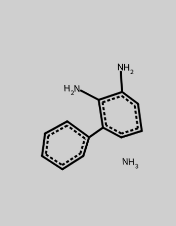 N.Nc1cccc(-c2ccccc2)c1N